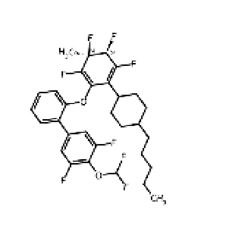 CCCCCC1CCC(C2=C(F)[C@H](F)[C@](C)(F)C(F)=C2Oc2ccccc2-c2cc(F)c(OC(F)F)c(F)c2)CC1